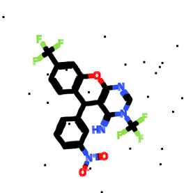 N=c1c2c(ncn1C(F)(F)F)Oc1cc(C(F)(F)F)ccc1C2c1cccc([N+](=O)[O-])c1